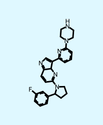 Fc1cccc(C2CCCN2C2=NC3C(c4cccc(N5CCNCC5)n4)=CN=C3C=C2)c1